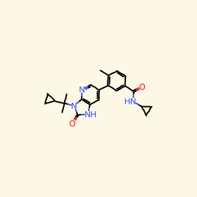 Cc1ccc(C(=O)NC2CC2)cc1-c1cnc2c(c1)[nH]c(=O)n2C(C)(C)C1CC1